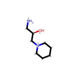 NC[C@@H](O)CN1CCCCC1